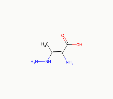 C/C(NN)=C(/N)C(=O)O